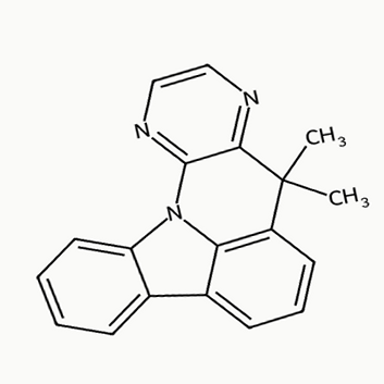 CC1(C)c2nccnc2-n2c3ccccc3c3cccc1c32